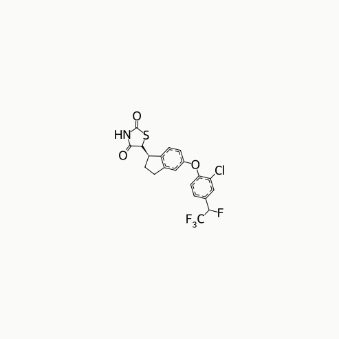 O=C1NC(=O)C([C@@H]2CCc3cc(Oc4ccc(C(F)C(F)(F)F)cc4Cl)ccc32)S1